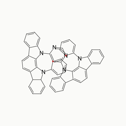 C1=CC2c3ccc4c5ccccc5n(-c5cc(-n6c7ccccc7c7ccc8c9ccccc9n(-c9ccccc9)c8c76)ncn5)c4c3N(c3ccccc3)C2C=C1